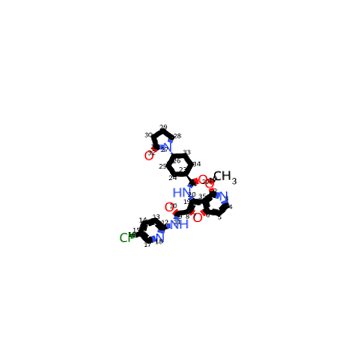 COc1nccc2oc(C(=O)Nc3ccc(Cl)cn3)c(NC(=O)[C@H]3CC[C@H](N4CCCC4=O)CC3)c12